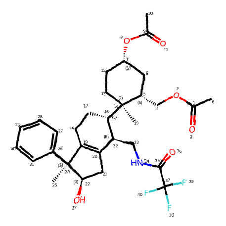 CC(=O)OC[C@H]1C[C@@H](OC(C)=O)CC[C@]1(C)[C@H]1CCC2=C(C[C@@H](O)[C@@]2(C)c2ccccc2)[C@@H]1CNC(=O)C(F)(F)F